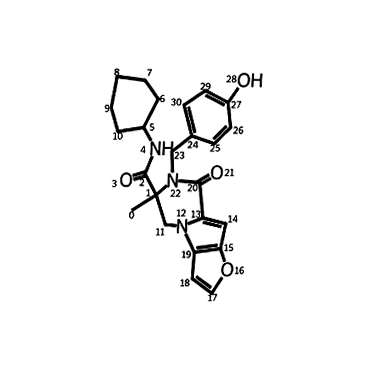 CC1(C(=O)NC2CCCCC2)Cn2c(cc3occc32)C(=O)N1Cc1ccc(O)cc1